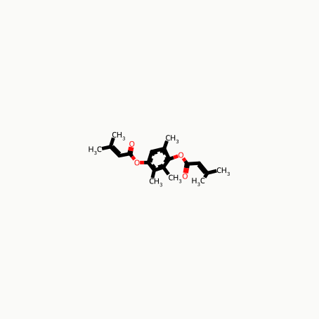 CC(C)=CC(=O)Oc1cc(C)c(OC(=O)C=C(C)C)c(C)c1C